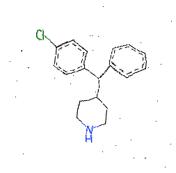 Clc1ccc(C(c2ccccc2)C2CCNCC2)cc1